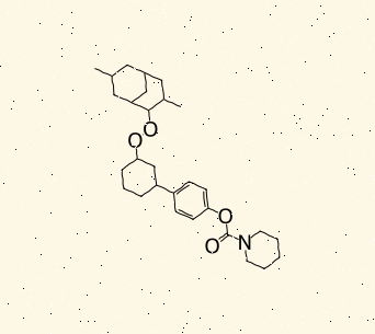 CC1CC2CC(C)C(OOC3CCCC(c4ccc(OC(=O)N5CCCCC5)cc4)C3)C(C1)C2